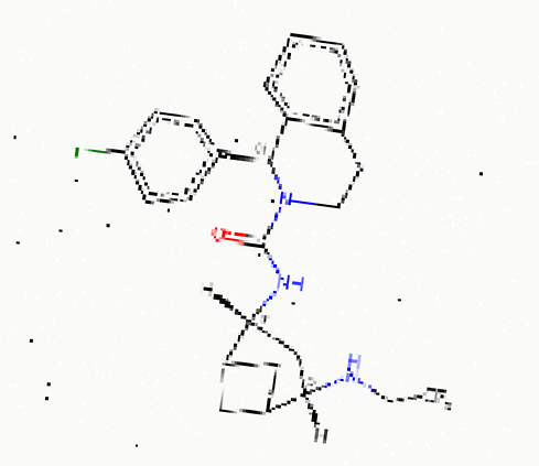 O=C(N[C@@H]1C[C@H](NCC(F)(F)F)C2CC1C2)N1CCc2ccccc2[C@@H]1c1ccc(F)cc1